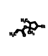 C=CC(=O)OC1(C)CC(CC)CC1C